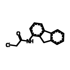 O=C(CCl)Nc1cccc2c1Cc1ccccc1-2